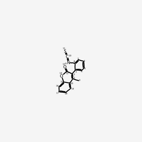 Cc1c(-c2ccccc2N=C=S)c(=O)oc2ccccc12